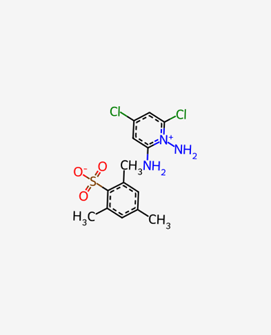 Cc1cc(C)c(S(=O)(=O)[O-])c(C)c1.Nc1cc(Cl)cc(Cl)[n+]1N